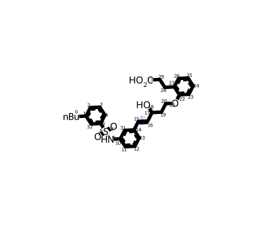 CCCCc1cccc(S(=O)(=O)Nc2cccc(/C=C/C(O)CCOc3ccccc3CCC(=O)O)c2)c1